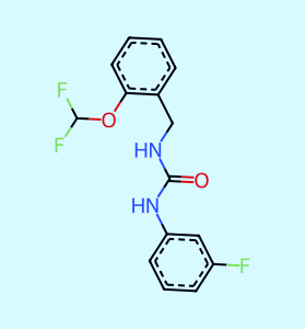 O=C(NCc1ccccc1OC(F)F)Nc1cccc(F)c1